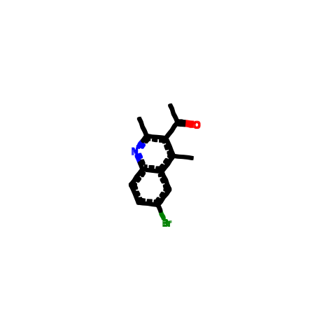 CC(=O)c1c(C)nc2ccc(Br)cc2c1C